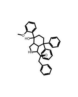 COc1ccccc1C1(O)CCC(c2ccccc2)(c2ccccc2)C2C(C(=O)Cc3ccccc3)NCC21